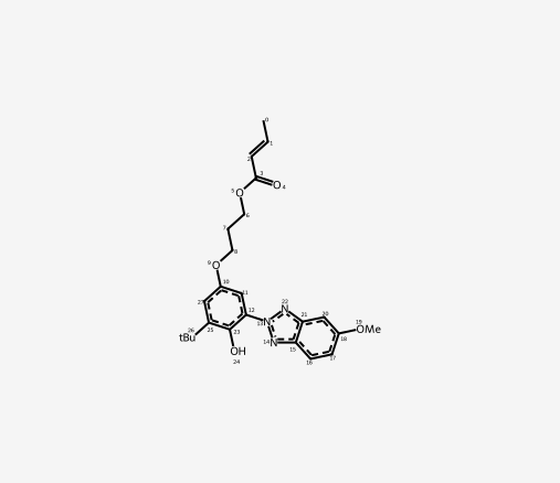 CC=CC(=O)OCCCOc1cc(-n2nc3ccc(OC)cc3n2)c(O)c(C(C)(C)C)c1